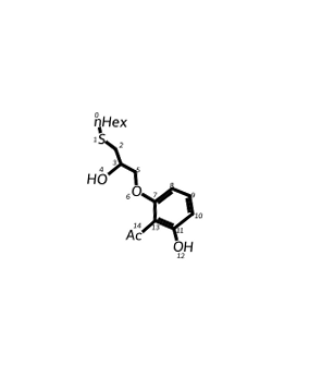 CCCCCCSCC(O)COc1cccc(O)c1C(C)=O